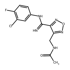 CC(=O)NCc1nonc1C(=N)Nc1ccc(F)c(Cl)c1